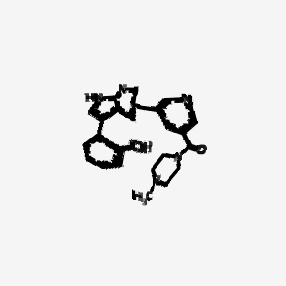 CN1CCN(C(=O)c2cncc(-c3cnc4[nH]cc(-c5ccccc5O)c4c3)c2)CC1